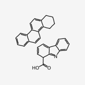 O=C(O)C1C=CC=C2C1=Nc1ccccc12.c1ccc2c(c1)ccc1c3c(ccc12)CCCC3